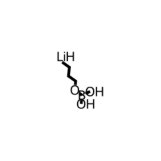 CCCCOB(O)O.[LiH]